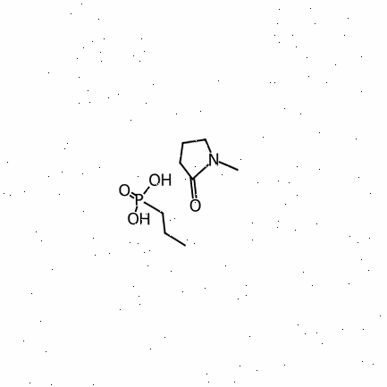 CCCP(=O)(O)O.CN1CCCC1=O